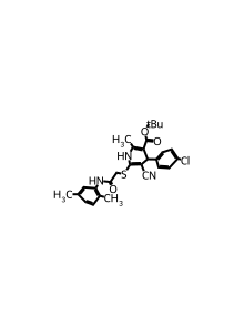 CC1=C(C(=O)OC(C)(C)C)C(c2ccc(Cl)cc2)C(C#N)=C(SCC(=O)Nc2cc(C)ccc2C)N1